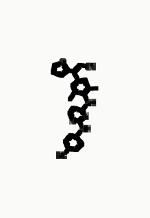 Cc1cc(/C(=C\C#N)c2ccco2)cc(C)c1Nc1ccnc(Nc2ccc(C#N)cc2)n1